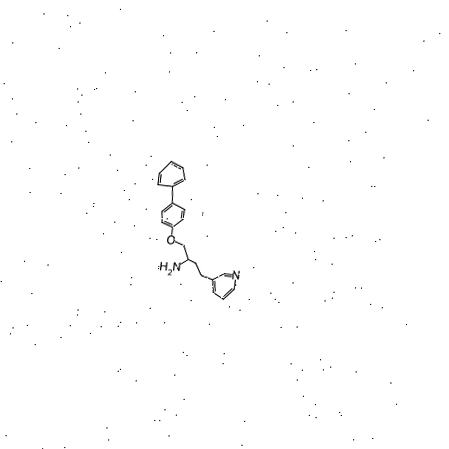 NC(CCc1cccnc1)COc1ccc(-c2ccccc2)cc1